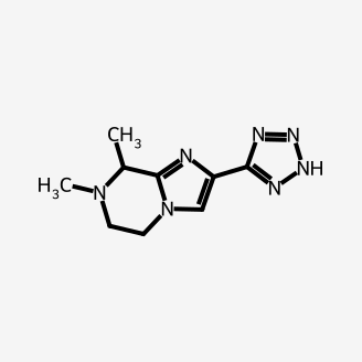 CC1c2nc(-c3nn[nH]n3)cn2CCN1C